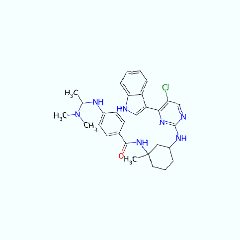 CC(Nc1ccc(C(=O)NC2(C)CCCC(Nc3ncc(Cl)c(-c4c[nH]c5ccccc45)n3)C2)cc1)N(C)C